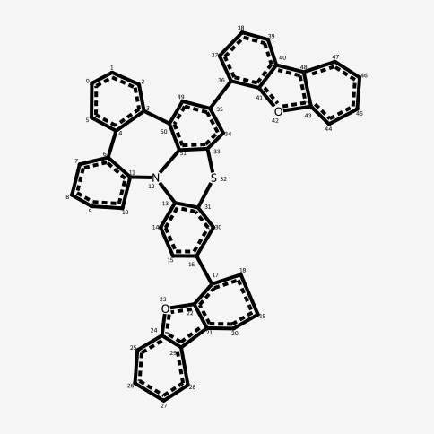 c1ccc2c(c1)-c1ccccc1N1c3ccc(-c4cccc5c4oc4ccccc45)cc3Sc3cc(-c4cccc5c4oc4ccccc45)cc-2c31